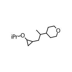 CC(C)OC1CC1CC(C)C1CCOCC1